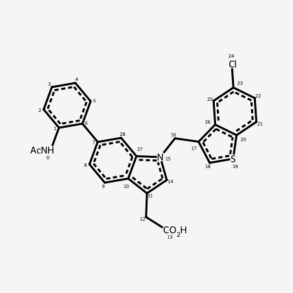 CC(=O)Nc1ccccc1-c1ccc2c(CC(=O)O)cn(Cc3csc4ccc(Cl)cc34)c2c1